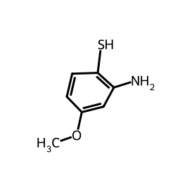 COc1ccc(S)c(N)c1